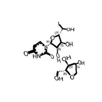 O=c1ccn([C@@H]2O[C@H](C(O)I)[C@@H](O)[C@H]2O)c(=O)[nH]1.OC[C@H]1OC[C@H](O)[C@@H]1O